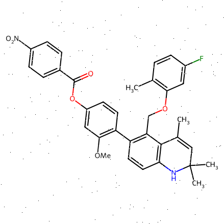 COc1cc(OC(=O)c2ccc([N+](=O)[O-])cc2)ccc1-c1ccc2c(c1COc1cc(F)ccc1C)C(C)=CC(C)(C)N2